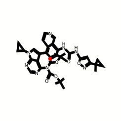 CC(C)(C)OC(=O)N(C(=O)OC(C)(C)C)c1ncnc2c1c(-c1ccc(NC(=O)Nc3cc(C4(C)CC4)no3)c3cnccc13)cn2C1CC1